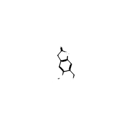 CCc1cc2c(cc1OC)CC(=O)N2